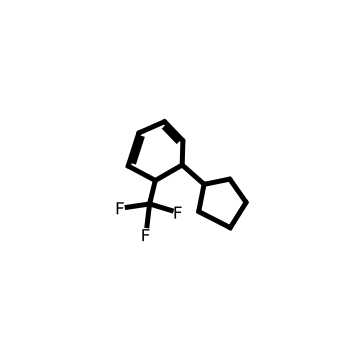 FC(F)(F)C1C=CC=CC1C1CCCC1